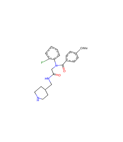 COc1ccc(C(=O)N(CC(=O)NCC2CCNCC2)c2ccccc2F)cc1